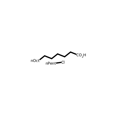 CCCCCCCCCCCCCC(=O)O.CCCCCCl